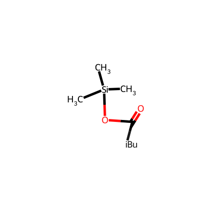 CCC(C)C(=O)O[Si](C)(C)C